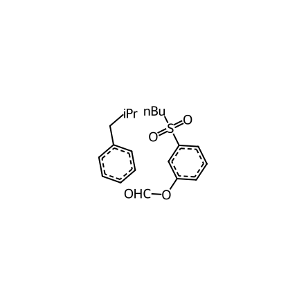 CC(C)Cc1ccccc1.CCCCS(=O)(=O)c1cccc(OC=O)c1